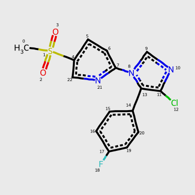 CS(=O)(=O)c1ccc(-n2cnc(Cl)c2-c2ccc(F)cc2)nc1